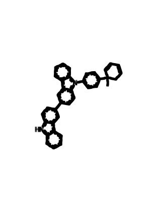 CC1(c2ccc(-n3c4ccccc4c4cc(-c5ccc6[nH]c7ccccc7c6c5)ccc43)cc2)C=CC=CC1